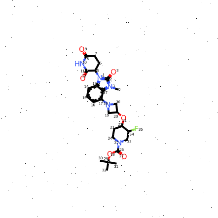 Cn1c(=O)n(C2CCC(=O)NC2=O)c2cccc(N3CC(OC4CCN(C(=O)OC(C)(C)C)CC4F)C3)c21